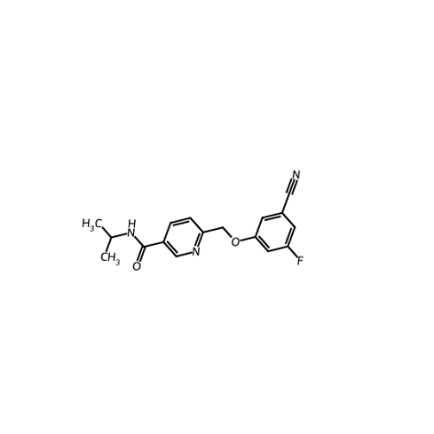 CC(C)NC(=O)c1ccc(COc2cc(F)cc(C#N)c2)nc1